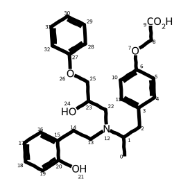 CC(Cc1ccc(OCC(=O)O)cc1)N(CCc1ccccc1O)CC(O)COc1ccccc1